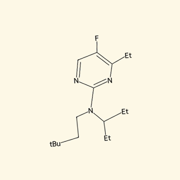 CCc1nc(N(CCC(C)(C)C)C(CC)CC)ncc1F